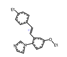 CCOc1ccc(-n2ccnc2)c(/C=C/c2ccc(CC)cc2)c1